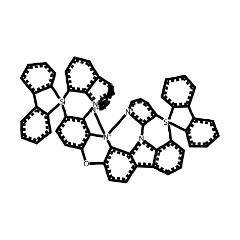 c1ccc2c(c1)-c1ccccc1[Si]21c2ccc[n+]3c2-n2c4c1cccc4c1ccc4c(c12)[N+]31c2c(ccc3c2-n2c5c(cccc5c5ccc[n+]1c52)[Si]31c2ccccc2-c2ccccc21)O4